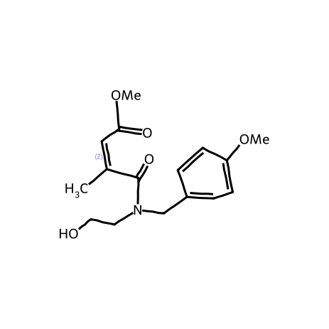 COC(=O)/C=C(/C)C(=O)N(CCO)Cc1ccc(OC)cc1